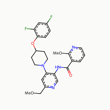 COCc1cc(N2CCC(Oc3ccc(F)cc3F)CC2)c(NC(=O)c2cccnc2OC)cn1